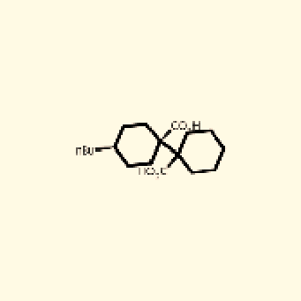 CCCC[C@H]1CC[C@](C(=O)O)(C2(C(=O)O)CCCCC2)CC1